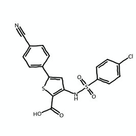 N#Cc1ccc(-c2cc(NS(=O)(=O)c3ccc(Cl)cc3)c(C(=O)O)s2)cc1